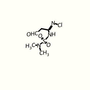 CN(C)S(=O)(=O)N/C(CC=O)=N\Cl